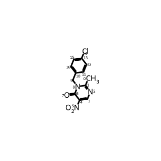 Cc1ncc([N+](=O)[O-])c(=O)n1Cc1ccc(Cl)cc1